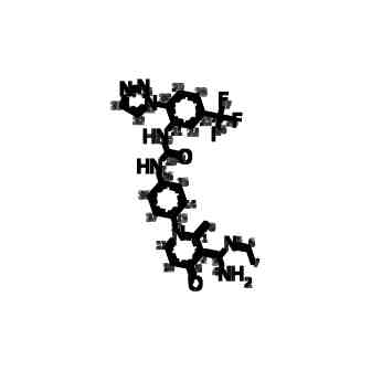 C=c1/c(=C(N)\N=C/C)c(=O)ccn1-c1ccc(NC(=O)Nc2cc(C(F)(F)F)ccc2-n2ccnn2)cc1